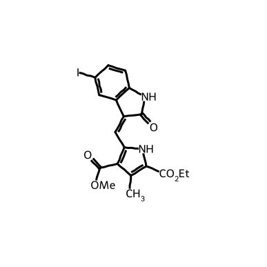 CCOC(=O)c1[nH]c(C=C2C(=O)Nc3ccc(I)cc32)c(C(=O)OC)c1C